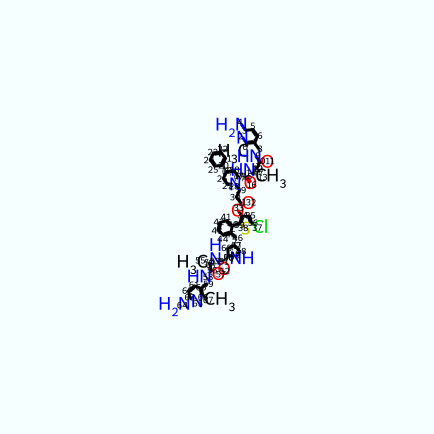 Cc1nc(N)ccc1CNC(=O)[C@H](C)NC(=O)[C@H]1C[C@@H](c2ccccc2)CCN1CCC(=O)Oc1cc(Cl)sc1-c1ccccc1C[C@@H]1CN[C@@H](C(=O)N[C@@H](C)C(=O)NCc2ccc(N)nc2C)C1